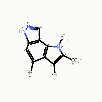 [2H]c1cc2[nH]ncc2c2c1c([2H])c(C(=O)O)n2C